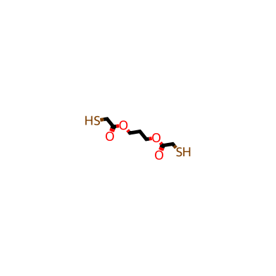 O=C(CS)OCCCOC(=O)CS